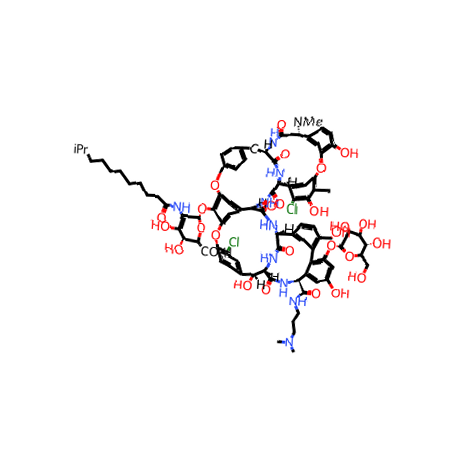 CN[C@H]1C(=O)N[C@@H]2Cc3ccc(cc3)Oc3cc4cc(c3O[C@@H]3OC(C(=O)O)[C@@H](O)C(O)=C3NC(=O)CCCCCCCCC(C)C)Oc3ccc(cc3Cl)[C@@H](O)[C@@H]3NC(=O)[C@H](NC(=O)[C@@H]4NC(=O)[C@@H](NC2=O)C2=CC(Oc4cc1ccc4O)C(C)C(O)=C2Cl)c1ccc(CO)c(c1)-c1c(O[C@H]2OC(CO)[C@@H](O)C(O)[C@H]2O)cc(O)cc1[C@@H](C(=O)NCCCN(C)C)NC3=O